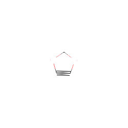 C1#COCO1